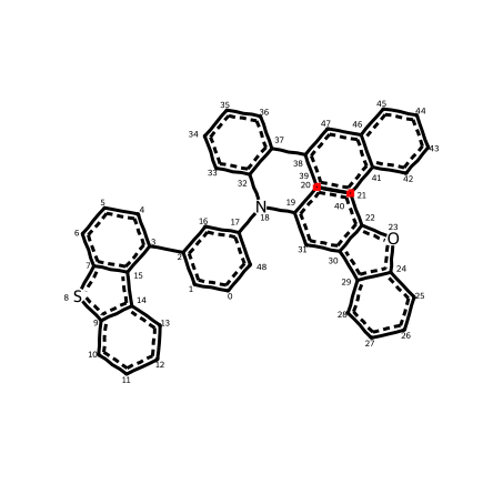 c1cc(-c2cccc3sc4ccccc4c23)cc(N(c2ccc3oc4ccccc4c3c2)c2ccccc2-c2ccc3ccccc3c2)c1